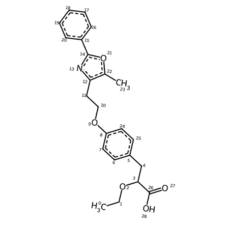 CCOC(Cc1ccc(OCCc2nc(-c3ccccc3)oc2C)cc1)C(=O)O